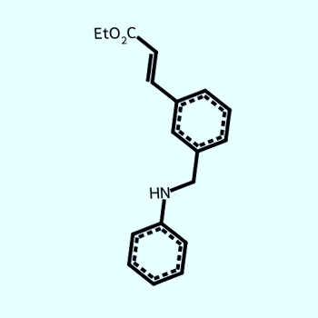 CCOC(=O)/C=C/c1cccc(CNc2ccccc2)c1